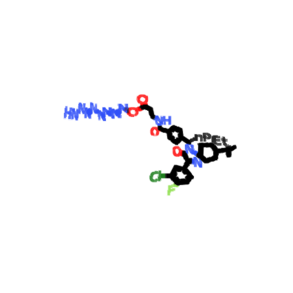 CCC[C@H](c1ccc(C(=O)NCCC(=O)ON=NN=NN=NN=N)cc1)N1C(=O)C(c2ccc(F)c(Cl)c2)=NC12CCC(C(C)(C)CC)CC2